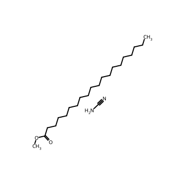 CCCCCCCCCCCCCCCCCCCC(=O)OC.N#CN